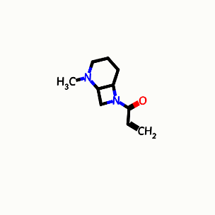 C=CC(=O)N1CC2C1CCCN2C